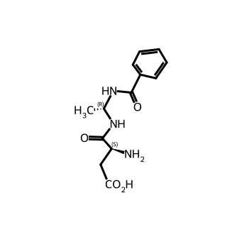 C[C@H](NC(=O)c1ccccc1)NC(=O)[C@@H](N)CC(=O)O